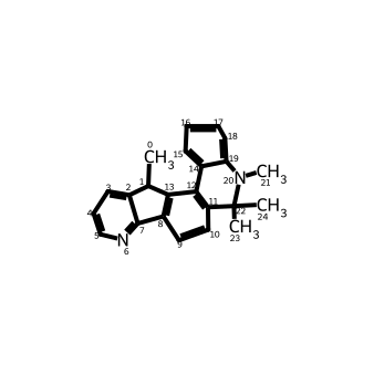 CC1c2cccnc2-c2ccc3c(c21)-c1ccccc1N(C)C3(C)C